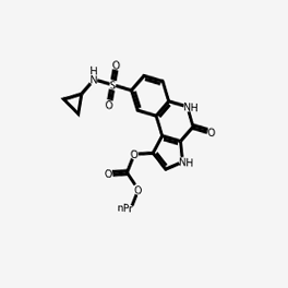 CCCOC(=O)Oc1c[nH]c2c(=O)[nH]c3ccc(S(=O)(=O)NC4CC4)cc3c12